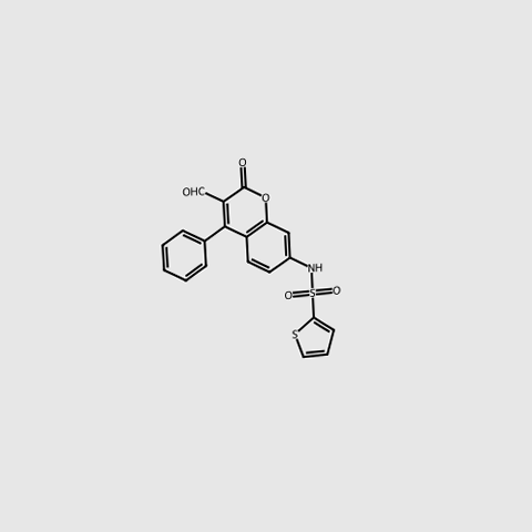 O=Cc1c(-c2ccccc2)c2ccc(NS(=O)(=O)c3cccs3)cc2oc1=O